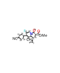 COC(=O)c1cc(C2CC2)c2c(C)c(-c3ccc(C#N)cc3)c(F)cn2c1=O